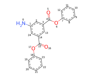 Nc1cc(C(=O)Oc2ccccc2)cc(C(=O)Oc2ccccc2)c1